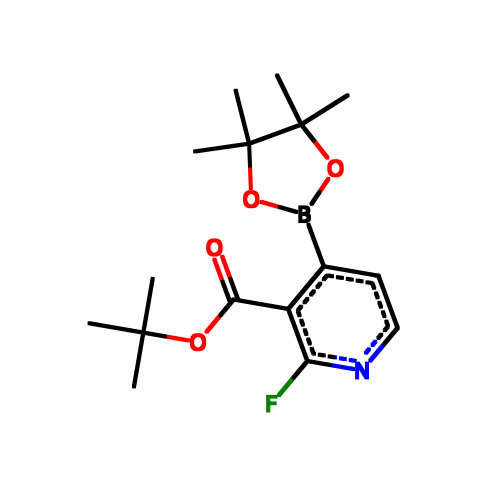 CC(C)(C)OC(=O)c1c(B2OC(C)(C)C(C)(C)O2)ccnc1F